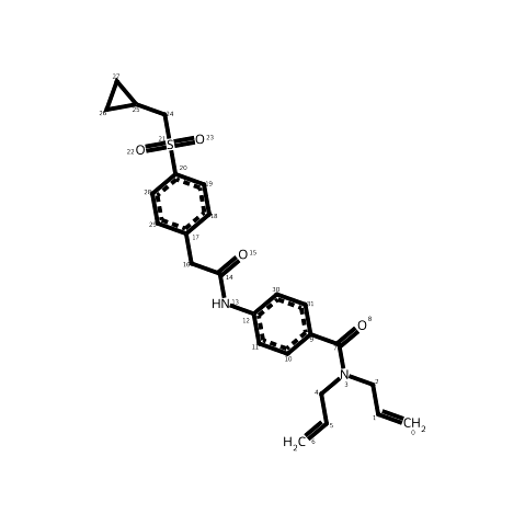 C=CCN(CC=C)C(=O)c1ccc(NC(=O)Cc2ccc(S(=O)(=O)CC3CC3)cc2)cc1